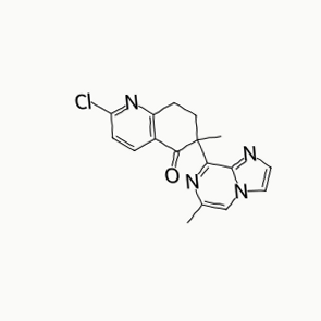 Cc1cn2ccnc2c(C2(C)CCc3nc(Cl)ccc3C2=O)n1